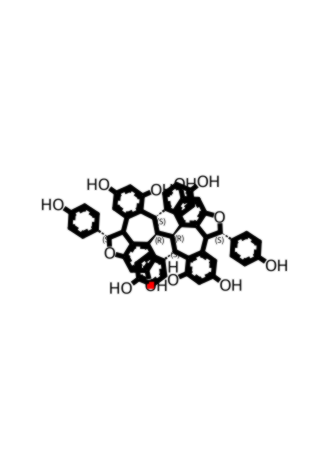 Oc1ccc([C@H]2c3c(O)cc(O)cc3C3c4c(cc(O)cc4[C@@H]2[C@H]2c4cc(O)cc5c4C(c4cc(O)cc(O)c4[C@@H]2c2ccc(O)cc2)[C@@H](c2ccc(O)cc2)O5)O[C@@H]3c2ccc(O)cc2)cc1